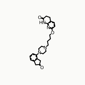 O=C1Cc2cccc(N3CCN(CCCCOc4ccc5c(n4)NC(=O)CC5)CC3)c2C1